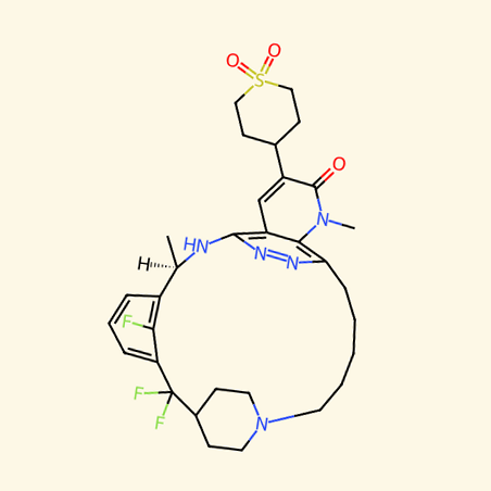 C[C@H]1Nc2nnc(c3c2cc(C2CCS(=O)(=O)CC2)c(=O)n3C)CCCCCN2CCC(CC2)C(F)(F)c2cccc1c2F